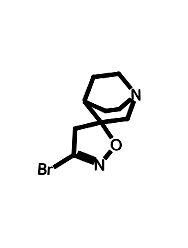 BrC1=NOC2(C1)CN1CCC2CC1